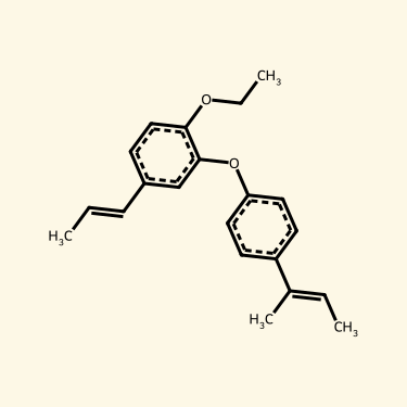 C/C=C/c1ccc(OCC)c(Oc2ccc(/C(C)=C/C)cc2)c1